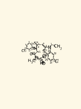 CCN1/C(=C/c2sc3ccc(Cl)cc3[n+]2CC(=O)N(C)[SH](=O)=O)Sc2ccc(Cl)cc21